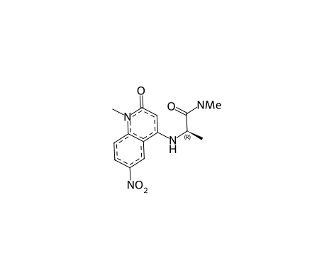 CNC(=O)[C@@H](C)Nc1cc(=O)n(C)c2ccc([N+](=O)[O-])cc12